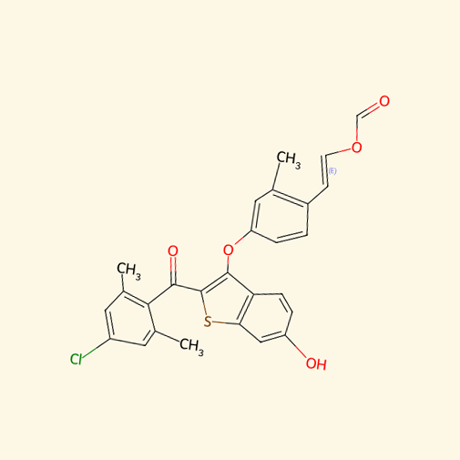 Cc1cc(Oc2c(C(=O)c3c(C)cc(Cl)cc3C)sc3cc(O)ccc23)ccc1/C=C/OC=O